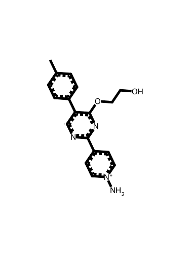 Cc1ccc(-c2[c]nc(-c3cc[n+](N)cc3)nc2OCCO)cc1